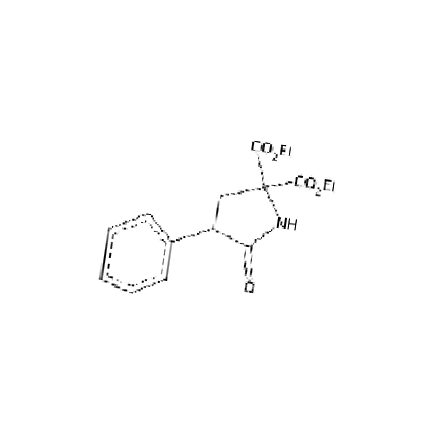 CCOC(=O)C1(C(=O)OCC)CC(c2ccccc2)C(=O)N1